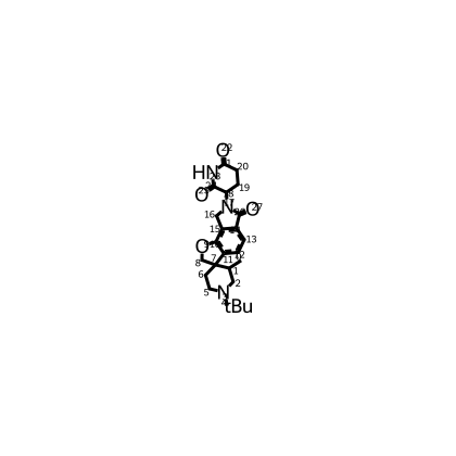 CC1CN(C(C)(C)C)CCC12COc1c2ccc2c1CN(C1CCC(=O)NC1=O)C2=O